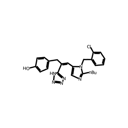 CCCCc1ncc(C=C(Cc2ccc(O)cc2)c2nnn[nH]2)n1Cc1ccccc1Cl